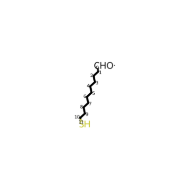 O=[C]CCCCCCCCCCS